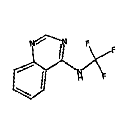 FC(F)(F)Nc1ncnc2ccccc12